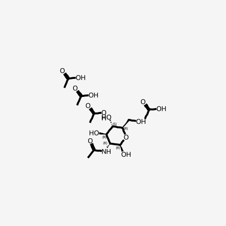 CC(=O)N[C@@H]1[C@@H](O)[C@H](O)[C@@H](CO)O[C@H]1O.CC(=O)O.CC(=O)O.CC(=O)O.CC(=O)O